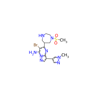 Cn1cc(-c2cnn3c(N)c(Br)c(C4CNCCN(S(C)(=O)=O)C4)nc23)cn1